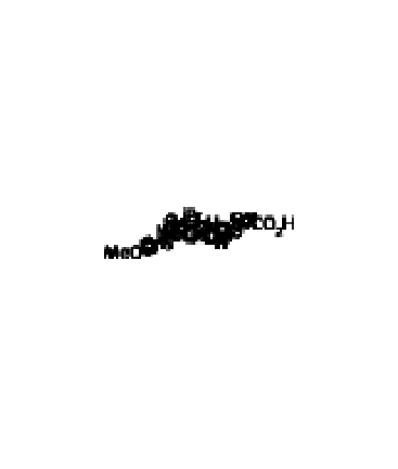 COc1ccc(-c2nnc(C[C@@]34CC[C@]5(C)[C@H](CC[C@@H]6[C@@]7(C)CC[C@H](OC(=O)CC(C)(C)C(=O)O)C(C)(C)[C@@H]7CC[C@]65C)C3=C(C(C)C)C(=O)C4)n2C)cc1